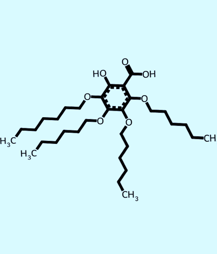 CCCCCCCOc1c(O)c(C(=O)O)c(OCCCCCC)c(OCCCCCC)c1OCCCCCC